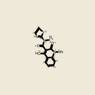 CCCn1c(=O)c(C(=O)N(C)c2nccs2)c(O)c2ccccc21